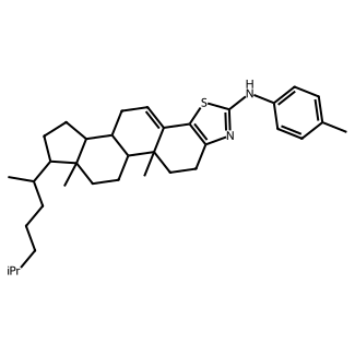 Cc1ccc(Nc2nc3c(s2)C2=CCC4C(CCC5(C)C(C(C)CCCC(C)C)CCC45)C2(C)CC3)cc1